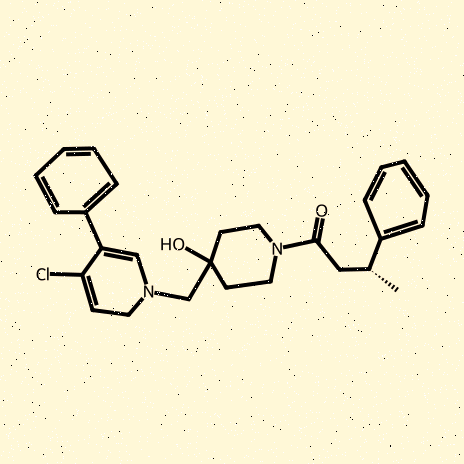 C[C@H](CC(=O)N1CCC(O)(CN2C=C(c3ccccc3)C(Cl)=CC2)CC1)c1ccccc1